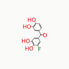 O=C(c1ccc(O)c(O)c1)c1cc(O)c(O)c(F)c1